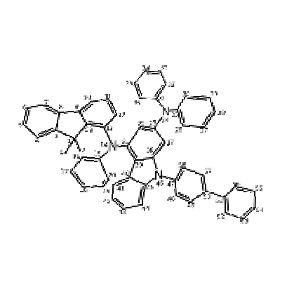 CC1(C)c2ccccc2-c2cccc(N(c3ccccc3)c3cc(N(c4ccccc4)c4ccccc4)cc4c3c3ccccc3n4-c3ccc(-c4ccccc4)cc3)c21